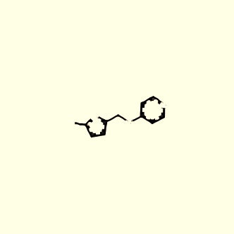 CCc1ccc(CNc2ccncc2)o1